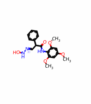 COc1cc(OC)c(NC(=O)C(/C=N/NO)c2ccccc2)c(OC)c1